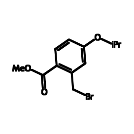 COC(=O)c1ccc(OC(C)C)cc1CBr